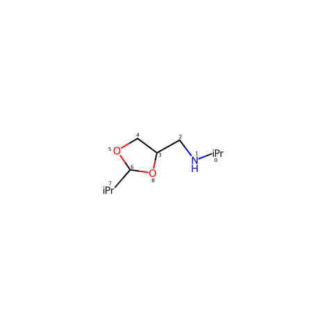 CC(C)NCC1COC(C(C)C)O1